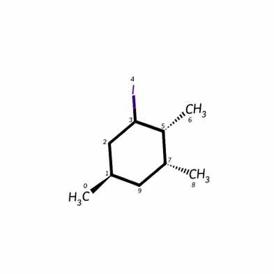 C[C@H]1CC(I)[C@H](C)[C@H](C)C1